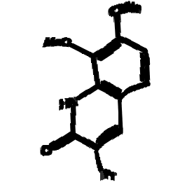 COc1ccc2cc(C(C)C)c(=O)[nH]c2c1OC